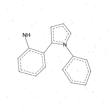 [NH]c1ccccc1-c1cccn1-c1ccccc1